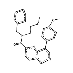 COCCN(Cc1ccccc1)C(=O)c1ccc2cncc(-c3ccc(OC)cc3)c2n1